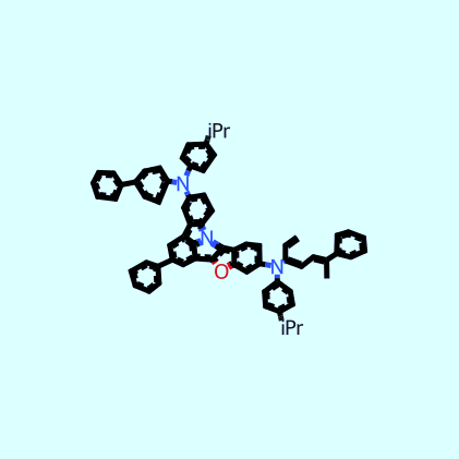 C=C/C(=C\C=C(/C)c1ccccc1)N(c1ccc(C(C)C)cc1)c1ccc2c(c1)oc1c3cc(-c4ccccc4)cc4c5cc(N(c6ccc(-c7ccccc7)cc6)c6ccc(C(C)C)cc6)ccc5n(c43)c21